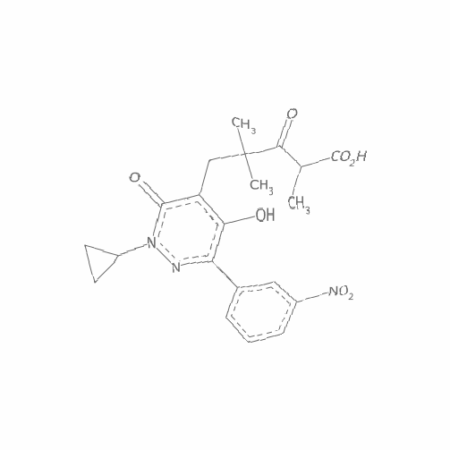 CC(C(=O)O)C(=O)C(C)(C)Cc1c(O)c(-c2cccc([N+](=O)[O-])c2)nn(C2CC2)c1=O